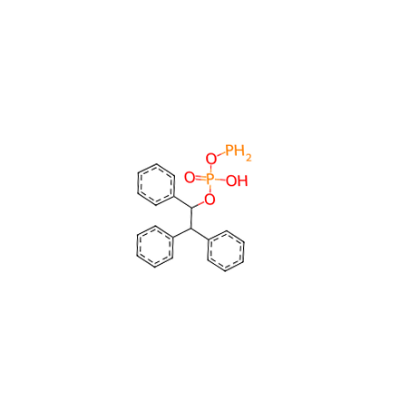 O=P(O)(OP)OC(c1ccccc1)C(c1ccccc1)c1ccccc1